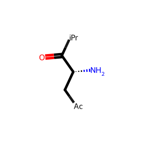 CC(=O)C[C@@H](N)C(=O)C(C)C